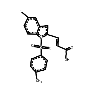 Cc1ccc(S(=O)(=O)n2c(C=CC(=O)O)cc3cc(F)ccc32)cc1